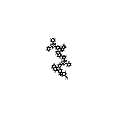 CC1(C)c2cc(C#N)ccc2-c2ccc(-c3ccc4ccccc4c3-c3ccc(-c4nc(-c5ccccc5)nc(-c5cccc(-c6ccc7nccc(-c8ccc9ccccc9c8-c8ccc(-c9nc(-c%10ccccc%10)nc(-c%10ccccc%10)n9)cc8)c7c6)c5)n4)cc3)cc21